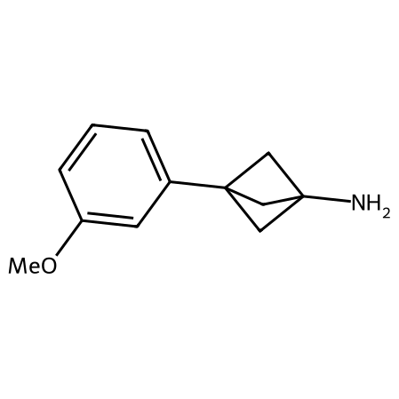 COc1cccc(C23CC(N)(C2)C3)c1